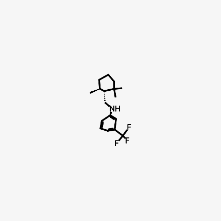 C[C@H]1CCCC(C)(C)[C@@H]1CNc1cccc(C(F)(F)F)c1